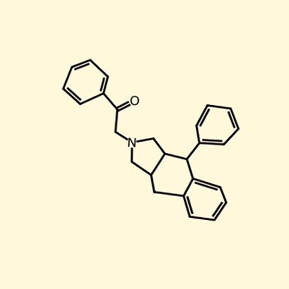 O=C(CN1CC2Cc3ccccc3C(c3ccccc3)C2C1)c1ccccc1